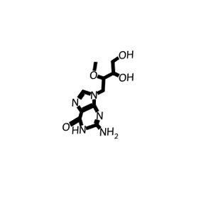 COC(Cn1cnc2c(=O)[nH]c(N)nc21)C(O)CO